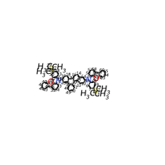 CS(C)(C)c1ccc(N(c2ccc3c(ccc4c5ccc(N(c6ccc(S(C)(C)C)cc6)c6cccc7c6oc6ccccc67)cc5c5ccccc5c34)c2)c2cccc3c2oc2ccccc23)cc1